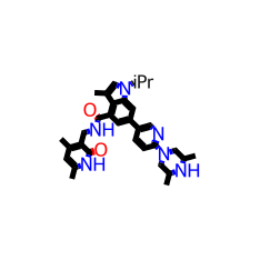 Cc1cc(C)c(CNC(=O)c2cc(-c3ccc(N4CC(C)NC(C)C4)nc3)cc3c2c(C)cn3C(C)C)c(=O)[nH]1